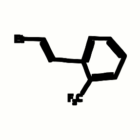 CC/C=C/c1ccccc1C(F)(F)F